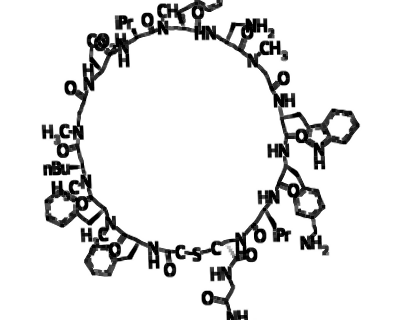 CCCC[C@H]1C(=O)N(C)CC(=O)N[C@@H](CC(=O)O)C(=O)N[C@@H](C(C)C)C(=O)N(C)[C@@H](Cc2ccccc2)C(=O)N[C@@H](CN)C(=O)N(C)CC(=O)N[C@@H](Cc2c[nH]c3ccccc23)C(=O)N[C@@H](Cc2ccc(CN)cc2)C(=O)N[C@@H](CC(C)C)C(=O)N[C@H](C(=O)NCC(N)=O)CSCC(=O)N[C@@H](Cc2ccccc2)C(=O)N(C)[C@@H](Cc2ccccc2)C(=O)N1C